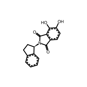 O=C1c2ccc(O)c(O)c2C(=O)N1[C@@H]1CCc2ccccc21